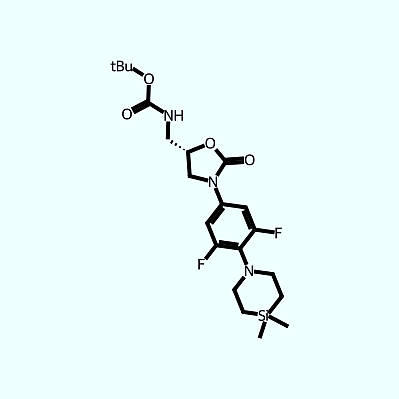 CC(C)(C)OC(=O)NC[C@H]1CN(c2cc(F)c(N3CC[Si](C)(C)CC3)c(F)c2)C(=O)O1